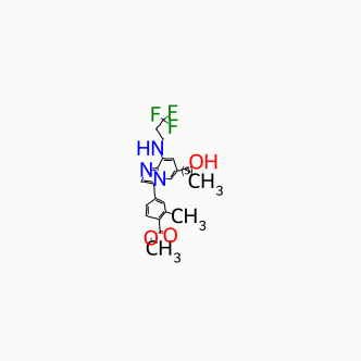 COC(=O)c1ccc(-c2cnc3c(NCCC(F)(F)F)cc([C@H](C)O)cn23)cc1C